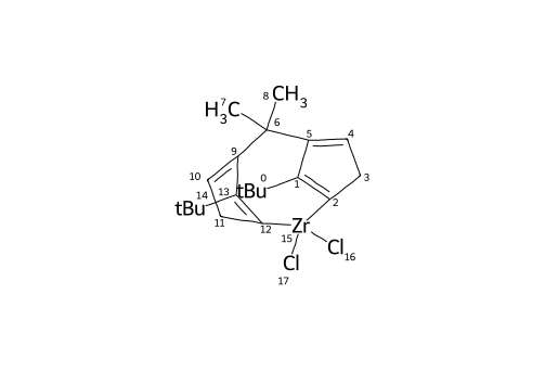 CC(C)(C)C1=[C]2CC=C1C(C)(C)C1=CC[C](=C1C(C)(C)C)[Zr]2([Cl])[Cl]